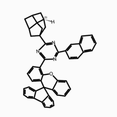 c1ccc2c(c1)Oc1c(-c3nc(-c4ccc5ccccc5c4)nc(C45CC6CC7C[C@@H](C4)C76C5)n3)cccc1C21c2ccccc2-c2ccccc21